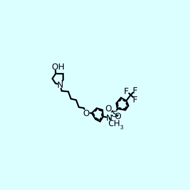 CN(c1ccc(OCCCCCCN2CCC(O)CC2)cc1)S(=O)(=O)c1ccc(C(F)(F)F)cc1